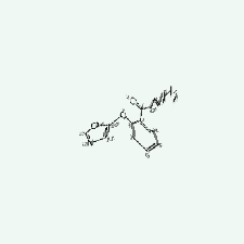 NC(=O)c1ccccc1Oc1cnco1